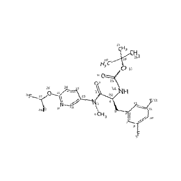 CN(C(=O)[C@H](Cc1cc(F)cc(F)c1)NC(=O)OC(C)(C)C)c1ccc(OC(F)F)nc1